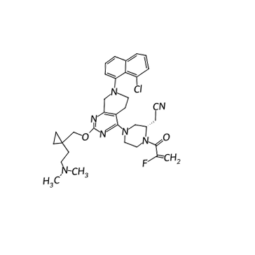 C=C(F)C(=O)N1CCN(c2nc(OCC3(CCN(C)C)CC3)nc3c2CCN(c2cccc4cccc(Cl)c24)C3)C[C@@H]1CC#N